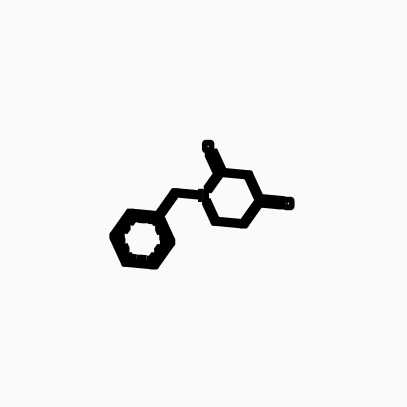 O=C1CCN(Cc2ccccc2)C(=O)C1